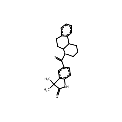 CC1(C)C(=O)Nc2ccc(C(=O)N3CCCC4c5ccccc5CCC43)cc21